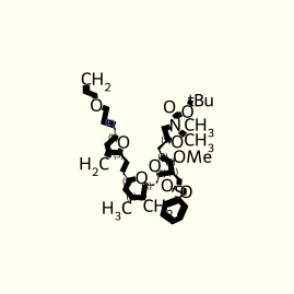 C=CCOC/C=C/[C@H]1CC(=C)[C@H](CC[C@H]2C[C@@H](C)C(=C)[C@@H](C[C@@H]3O[C@H](C[C@H]4CN(C(=O)OC(C)(C)C)C(C)(C)O4)[C@H](OC)[C@H]3CS(=O)(=O)c3ccccc3)O2)O1